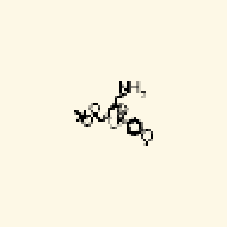 COc1ccc(B2O[C@H](CCN)C[C@H](CC(=O)OC(C)(C)C)O2)cc1